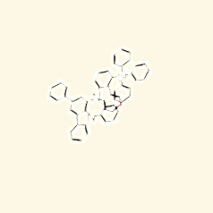 c1ccc(-c2cc(-n3c4ccccc4c4c([Si](c5ccccc5)(c5ccccc5)c5ccccc5)cccc43)c3c(c2)c2ccccc2n3-c2ccccc2)cc1